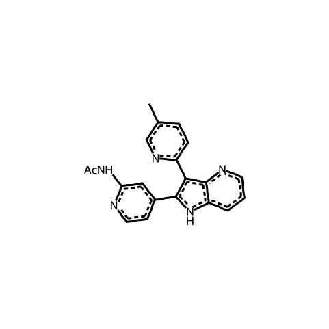 CC(=O)Nc1cc(-c2[nH]c3cccnc3c2-c2ccc(C)cn2)ccn1